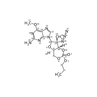 CCCOP1(=O)OC[C@H]2OC(n3cnc4c(OC)nc(N)nc43)[C@](C)(N=[N+]=[N-])[C@@H]2O1